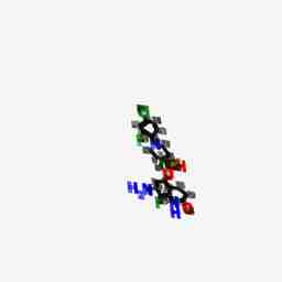 Cl.Nc1cc(OCC2(O)CCN(c3ccc(Cl)cc3F)CC2)c2c(c1F)NC(=O)CC2